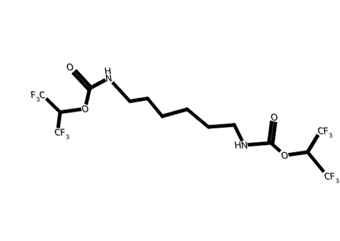 O=C(NCCCCCCNC(=O)OC(C(F)(F)F)C(F)(F)F)OC(C(F)(F)F)C(F)(F)F